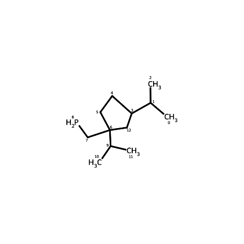 CC(C)C1CCC(CP)(C(C)C)C1